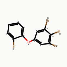 Brc1ccccc1Oc1cc(Br)c(Br)c(Br)c1